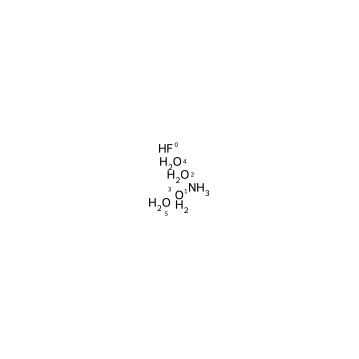 F.N.O.O.O.O